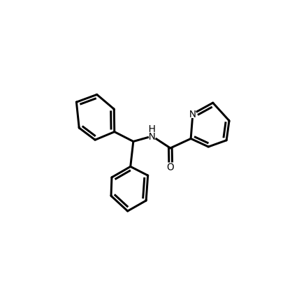 O=C(NC(c1ccccc1)c1ccccc1)c1ccccn1